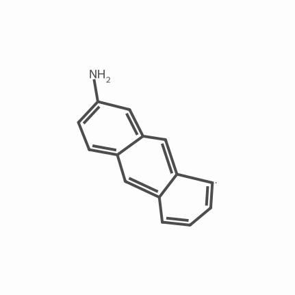 Nc1ccc2cc3ccc[c]c3cc2c1